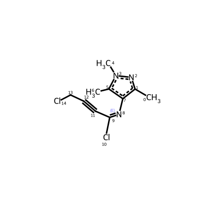 Cc1nn(C)c(C)c1/N=C(/Cl)C#CCCl